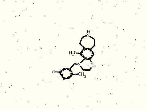 Cc1ccc(Cl)cc1CN1CCOc2cc3c(c(C)c21)CCNCC3